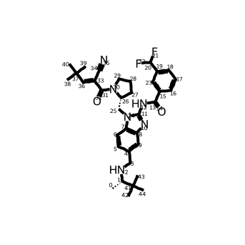 C[C@H](NCc1ccc2c(c1)nc(NC(=O)c1cccc(C(F)F)c1)n2C[C@H]1CCCN1C(=O)/C(C#N)=C/C(C)(C)C)C(C)(C)C